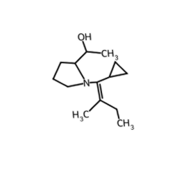 CC/C(C)=C(\C1CC1)N1CCCC1C(C)O